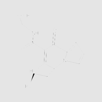 CC[C@H](C)CC[C@@]1(C)C(O)=C(C(=O)NCC(=O)O)C(=O)c2cccn21